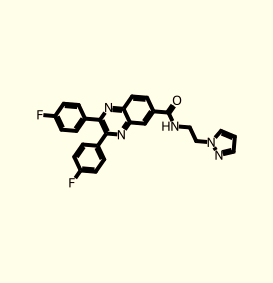 O=C(NCCn1cccn1)c1ccc2nc(-c3ccc(F)cc3)c(-c3ccc(F)cc3)nc2c1